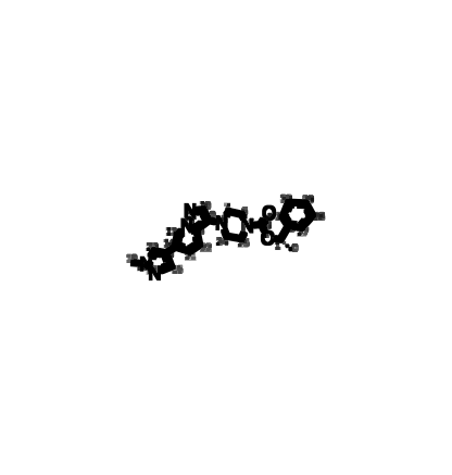 C[C@H](OC(=O)N1CCN(c2cnn3cc(-c4cnn(C)c4)ccc23)CC1)c1ccccc1